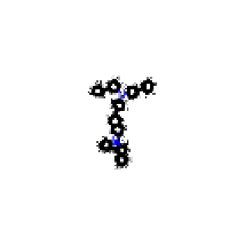 c1ccc(-c2ccc(N(c3ccc(-c4ccc5cc(-n6c7ccccc7c7c8ccccc8ccc76)ccc5c4)cc3)c3cccc(-c4ccccc4)c3)cc2)cc1